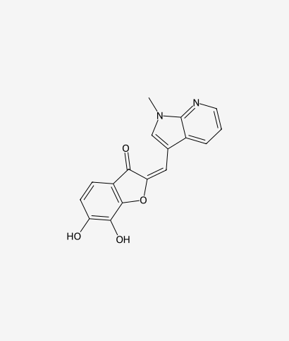 Cn1cc(C=C2Oc3c(ccc(O)c3O)C2=O)c2cccnc21